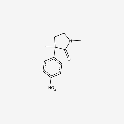 CN1CCC(C)(c2ccc([N+](=O)[O-])cc2)C1=O